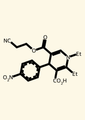 CCC1=C(C(=O)O)C(c2ccc([N+](=O)[O-])cc2)C(C(=O)OCCC#N)=CN1CC